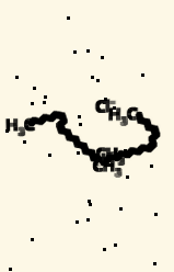 CCCCC/C=C\C/C=C\CCCCCCCC[N+](C)(C)CCCCCCCC/C=C\C/C=C\CCCCC.[Cl-]